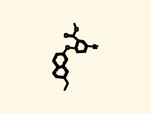 CCc1ccc2ccc(Oc3ccc(Br)cc3C(=O)OC)cc2c1